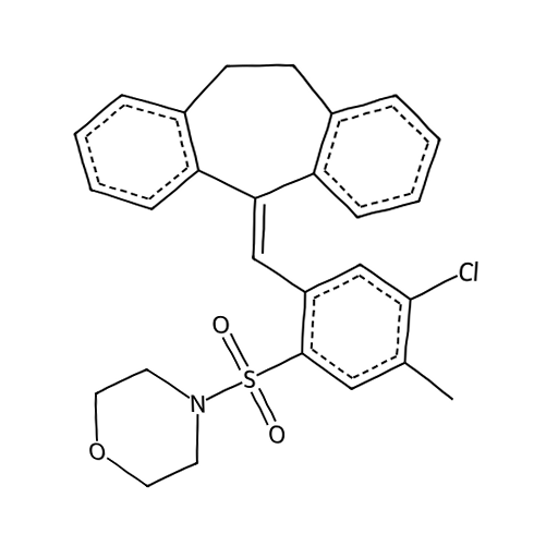 Cc1cc(S(=O)(=O)N2CCOCC2)c(C=C2c3ccccc3CCc3ccccc32)cc1Cl